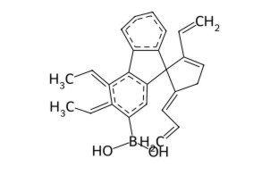 C=C/C=C1\CC=C(C=C)C12c1ccccc1-c1c2cc(B(O)O)c(=C/C)/c1=C\C